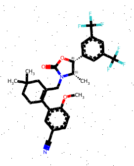 COc1ccc(C#N)cc1C1=C(CN2C(=O)O[C@H](c3cc(C(F)(F)F)cc(C(F)(F)F)c3)[C@@H]2C)CC(C)(C)CC1